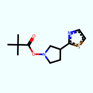 CC(C)(C)C(=O)ON1CCC(c2nccs2)C1